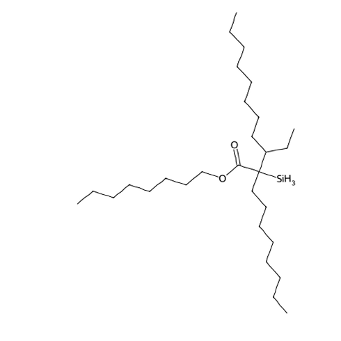 CCCCCCCCOC(=O)C([SiH3])(CCCCCCCC)C(CC)CCCCCCCC